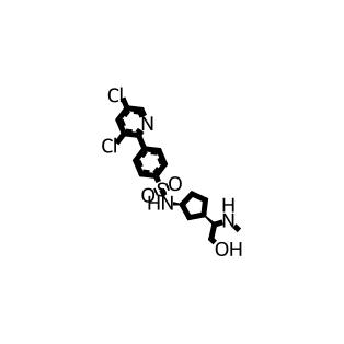 CNC(CO)[C@@H]1CC[C@H](NS(=O)(=O)c2ccc(-c3ncc(Cl)cc3Cl)cc2)C1